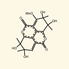 COC1=c2c(=O)oc3c4c(c(=O)oc(c24)C(C)(O)C1(C)O)=CC(C)(O)C3(C)O